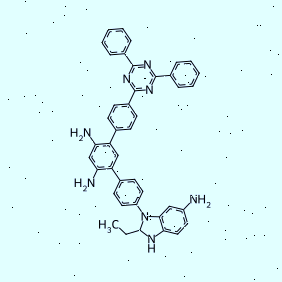 CCC1Nc2ccc(N)cc2N1c1ccc(-c2cc(-c3ccc(-c4nc(-c5ccccc5)nc(-c5ccccc5)n4)cc3)c(N)cc2N)cc1